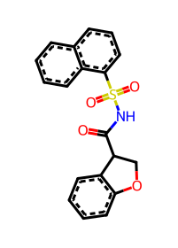 O=C(NS(=O)(=O)c1cccc2ccccc12)C1COc2ccccc21